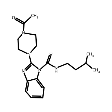 CC(=O)N1CCN(c2nc3ccccc3n2C(=O)NCCC(C)C)CC1